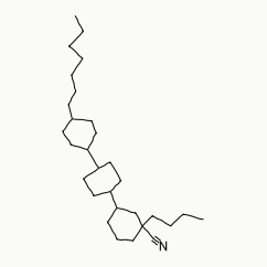 CCCCCCCC1CCC(C2CCC(C3CCCC(C#N)(CCCC)C3)CC2)CC1